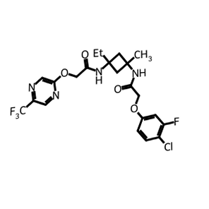 CCC1(NC(=O)COc2cnc(C(F)(F)F)cn2)CC(C)(NC(=O)COc2ccc(Cl)c(F)c2)C1